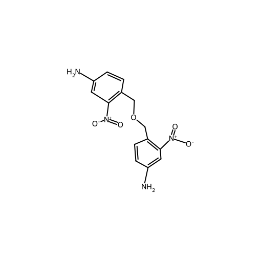 Nc1ccc(COCc2ccc(N)cc2[N+](=O)[O-])c([N+](=O)[O-])c1